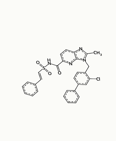 Cc1nc2ccc(C(=O)NS(=O)(=O)C=Cc3ccccc3)nc2n1Cc1ccc(-c2ccccc2)cc1Cl